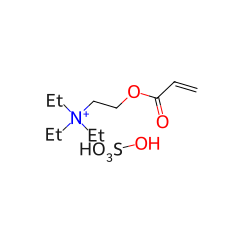 C=CC(=O)OCC[N+](CC)(CC)CC.O=S(=O)(O)O